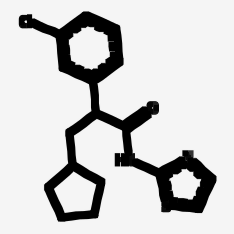 O=C(Nc1nccs1)C(CC1CCCC1)c1cccc(Cl)c1